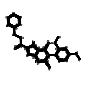 COc1ccc(-n2c(=O)[nH]c3cc(C(=O)OCc4ccccc4)[nH]c3c2=O)c(OC)c1